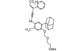 COCCOCOc1cc(C)c([Se]C#C/C(=C/C(=O)O)c2ccccc2)cc1C12CC3CC(CC(C3)C1)C2